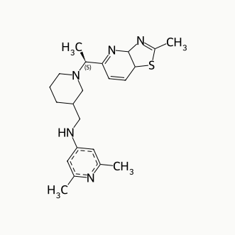 CC1=NC2N=C([C@H](C)N3CCCC(CNc4cc(C)nc(C)c4)C3)C=CC2S1